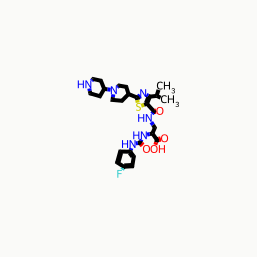 CC(C)c1nc(C2CCN(C3CCNCC3)CC2)sc1C(=O)NCC(NC(=O)Nc1ccc(F)cc1)C(=O)O